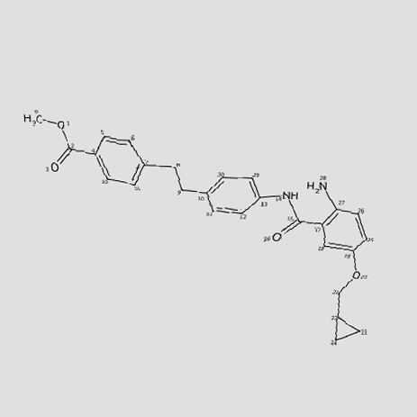 COC(=O)c1ccc(CCc2ccc(NC(=O)c3cc(OCC4CC4)ccc3N)cc2)cc1